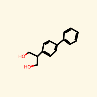 OCC(CO)c1ccc(-c2ccccc2)cc1